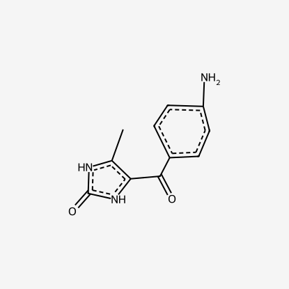 Cc1[nH]c(=O)[nH]c1C(=O)c1ccc(N)cc1